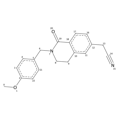 COc1ccc(CN2CCc3cc(CC#N)ccc3C2=O)cc1